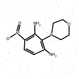 Nc1ccc([N+](=O)[O-])c(N)c1N1CCOCC1